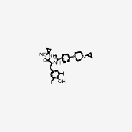 N#CC1(NC(=O)C(Cc2cc(I)c(O)c(I)c2)NC(=O)c2ccc(N3CCN(C4CC4)CC3)cc2)CC1